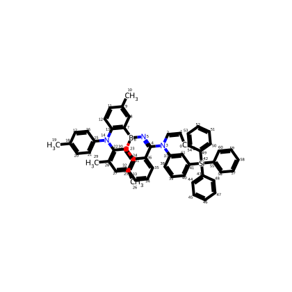 C/C=C\N(C1=NB(c2cc(C)ccc2N(c2ccc(C)cc2)c2ccc(C)cc2C)Oc2ccccc21)c1cccc([Si](c2ccccc2)(c2ccccc2)c2ccccc2)c1